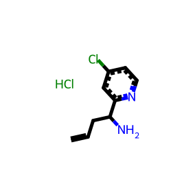 C=CCC(N)c1cc(Cl)ccn1.Cl